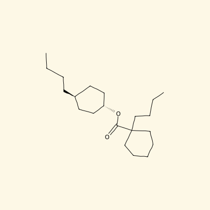 CCCCC1(C(=O)O[C@H]2CC[C@H](CCCC)CC2)CCCCC1